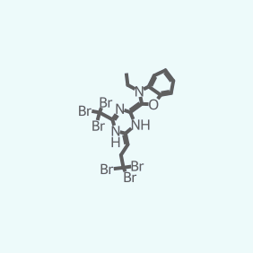 CCN1C(=C2N=C(C(Br)(Br)Br)NC(=CCC(Br)(Br)Br)N2)Oc2ccccc21